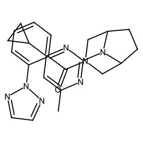 Cc1cc(C2CC2)nc(N2C3CCC2CN(C(=O)c2ccccc2-n2nccn2)C3)n1